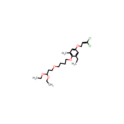 CCOC(CCOCCCCOc1c(C)cc(OCC=C(Cl)Cl)cc1CC)OCC